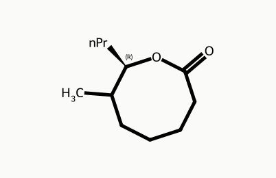 CCC[C@H]1OC(=O)CCCCC1C